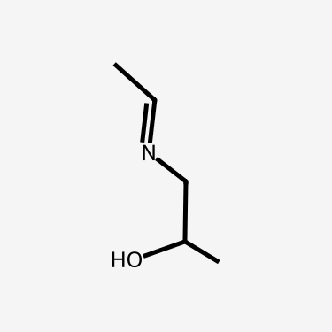 CC=NCC(C)O